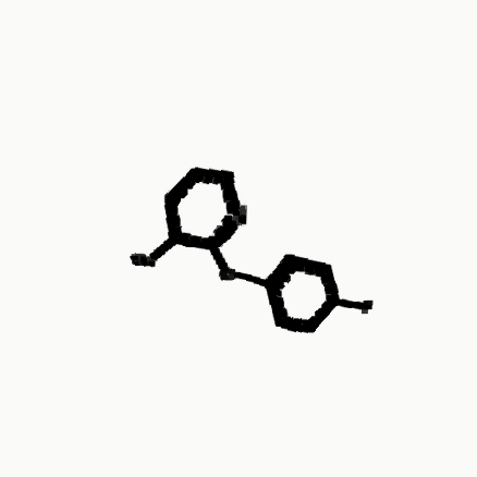 CC(C)(C)c1cccnc1Oc1ccc(F)cc1